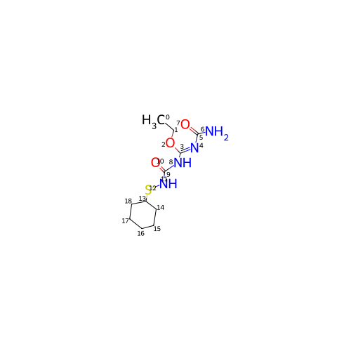 CCOC(=NC(N)=O)NC(=O)NSC1CCCCC1